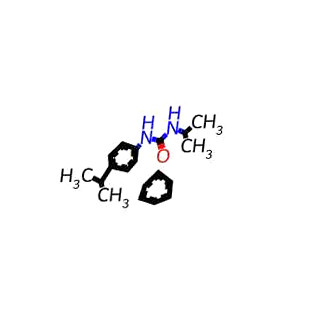 CC(C)NC(=O)Nc1ccc(C(C)C)cc1.c1ccccc1